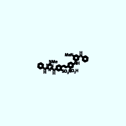 CNc1cc(Nc2ccccc2)cc(Nc2ccc(C=Cc3ccc(Nc4nc(NC)nc(Nc5ccccc5)n4)cc3S(=O)(=O)O)c(S(=O)(=O)O)c2)c1